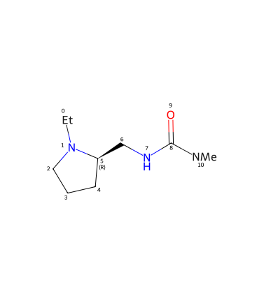 CCN1CCC[C@@H]1CNC(=O)NC